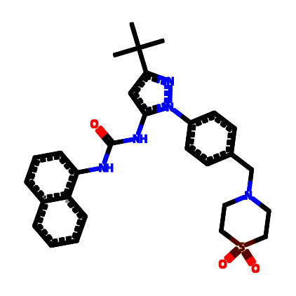 CC(C)(C)c1cc(NC(=O)Nc2cccc3ccccc23)n(-c2ccc(CN3CCS(=O)(=O)CC3)cc2)n1